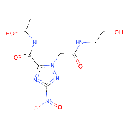 CC(O)NC(=O)c1nc([N+](=O)[O-])nn1CC(=O)NCCO